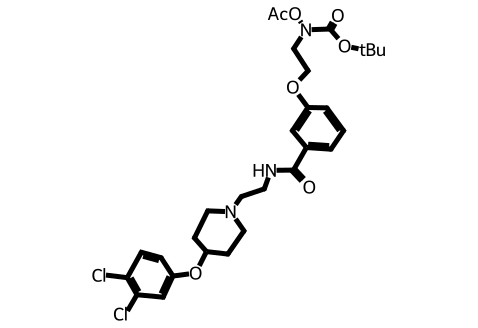 CC(=O)ON(CCOc1cccc(C(=O)NCCN2CCC(Oc3ccc(Cl)c(Cl)c3)CC2)c1)C(=O)OC(C)(C)C